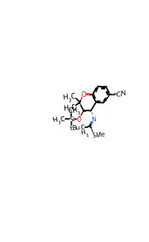 CSC(C)=N[C@H]1c2cc(C#N)ccc2OC(C)(C)[C@@H]1O[Si](C)(C)C(C)(C)C